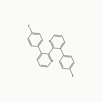 Fc1ccc(-c2cccnc2-c2ncccc2-c2ccc(F)cc2)cc1